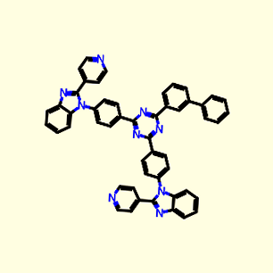 c1ccc(-c2cccc(-c3nc(-c4ccc(-n5c(-c6ccncc6)nc6ccccc65)cc4)nc(-c4ccc(-n5c(-c6ccncc6)nc6ccccc65)cc4)n3)c2)cc1